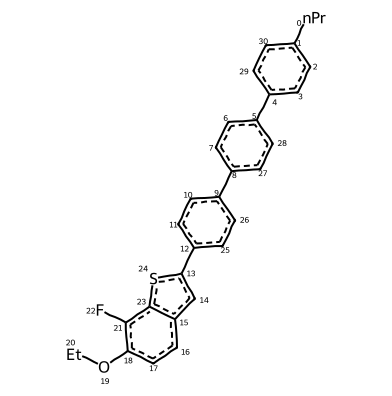 CCCc1ccc(-c2ccc(-c3ccc(-c4cc5ccc(OCC)c(F)c5s4)cc3)cc2)cc1